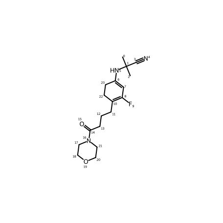 CC(C)(C#N)NC1=CC(F)=C(CCCC(=O)N2CCOCC2)CC1